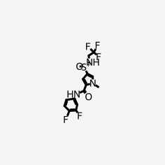 Cn1cc([S+]([O-])NCC(F)(F)F)cc1C(=O)Nc1ccc(F)c(F)c1